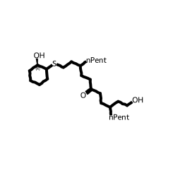 CCCCCC(CCO)CCC(=O)CCC(CCCCC)CCSC1CCCC[C@H]1O